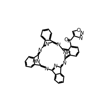 [O]=[Ti]([c]1conn1)[c]1cccc2c3nc4nc(nc5[nH]c(nc6nc(nc([nH]3)c12)-c1ccccc1-6)c1ccccc51)-c1ccccc1-4